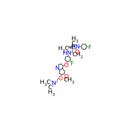 C=C(Nc1ccc(Oc2ccnc3cc(OCCN(CC)CC)c(OC)cc23)c(F)c1)C1(C(=O)Nc2ccc(F)cc2)[C@H](C)[C@H]1C